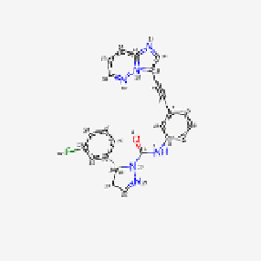 O=C(Nc1cccc(C#Cc2cnc3cccnn23)c1)N1N=CC[C@@H]1c1cccc(F)c1